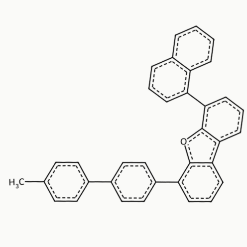 Cc1ccc(-c2ccc(-c3cccc4c3oc3c(-c5cccc6ccccc56)cccc34)cc2)cc1